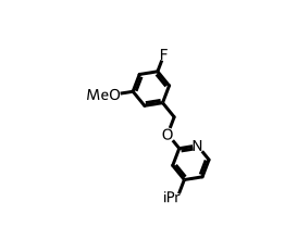 COc1cc(F)cc(COc2cc(C(C)C)ccn2)c1